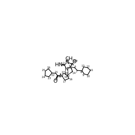 CN1C(=N)N[C@@](CCC2CCCCC2)(C[C@H]2CCN(C(=O)CC3CCCC3)C2)C1=O